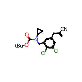 C=C(C#N)Cc1cc(Cl)c(Cl)c(CN(C(=O)OC(C)(C)C)C2CC2)c1